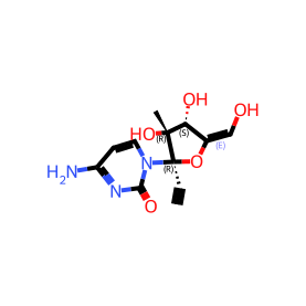 C#C[C@@]1(n2ccc(N)nc2=O)O/C(=C/O)[C@@H](O)[C@@]1(C)O